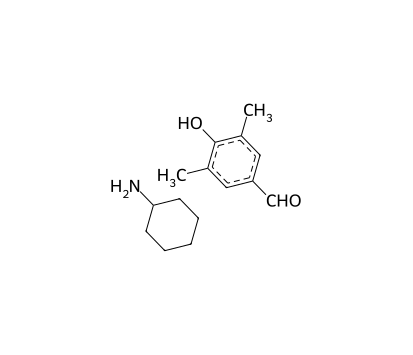 Cc1cc(C=O)cc(C)c1O.NC1CCCCC1